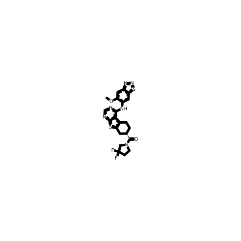 COc1cc2nnsc2cc1Nc1ncnc2sc3c(c12)CC[C@H](C(=O)N1CCC(F)(F)C1)C3